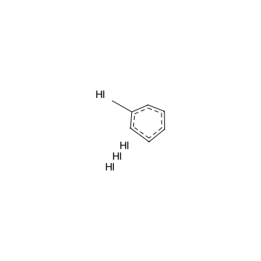 Cc1ccccc1.I.I.I.I